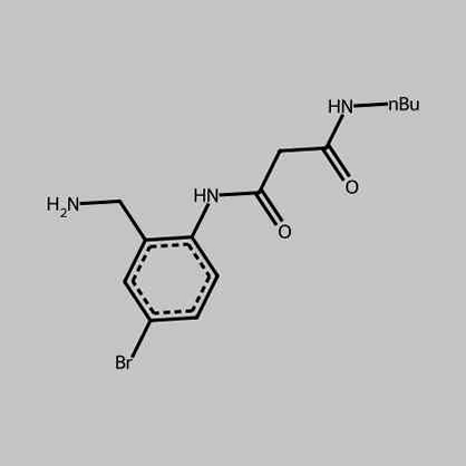 CCCCNC(=O)CC(=O)Nc1ccc(Br)cc1CN